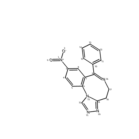 O=[N+]([O-])c1ccc2c(c1)C(c1ccccc1)=NCCc1nncn1-2